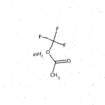 CC(=O)OC(F)(F)F.[InH3]